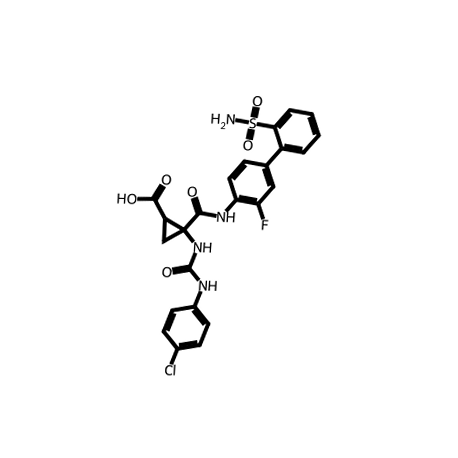 NS(=O)(=O)c1ccccc1-c1ccc(NC(=O)C2(NC(=O)Nc3ccc(Cl)cc3)CC2C(=O)O)c(F)c1